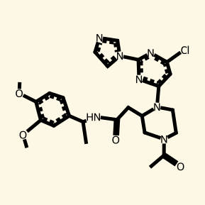 COc1ccc(C(C)NC(=O)CC2CN(C(C)=O)CCN2c2cc(Cl)nc(-n3ccnc3)n2)cc1OC